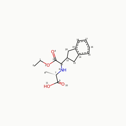 CCOC(=O)C(N[C@@H](C)C(=O)O)C1Cc2ccccc2C1